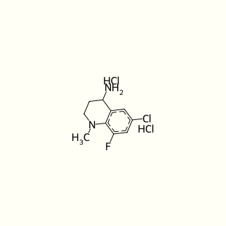 CN1CCC(N)c2cc(Cl)cc(F)c21.Cl.Cl